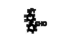 CCCC1CCC(c2ccccc2C=O)CC1